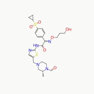 C[C@H]1CN(Cc2cnc(NC(=O)/C(=N/OCCCO)c3ccc(S(=O)(=O)C4CC4)cc3)s2)CCN1C=O